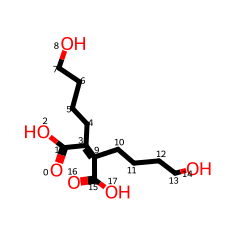 O=C(O)/C(CCCCO)=C(/CCCCO)C(=O)O